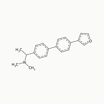 CC(c1ccc(-c2ccc(-c3ccoc3)cc2)cc1)N(C)C